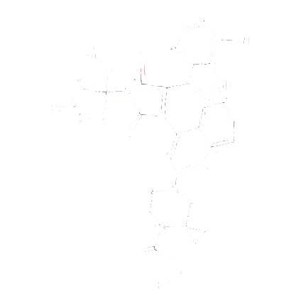 Cc1cccc2c(C3=C(c4nc(N5CCN(C(=O)OC(C)(C)C)C6(CC6)C5)cc5ccccc45)C(=O)N(C(OP=O)(OC(C)(C)C)OC(C)(C)C)C3=O)c[nH]c12